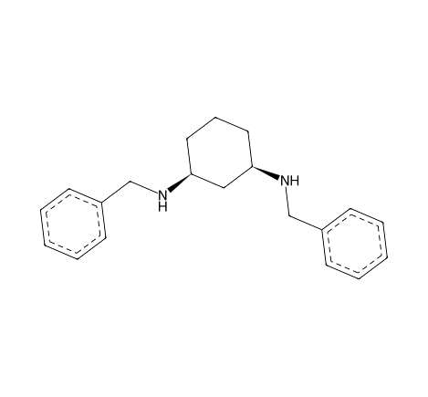 c1ccc(CN[C@@H]2CCC[C@H](NCc3ccccc3)C2)cc1